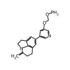 C=C1CCc2cc(-c3cncc(OCOP)c3)cc3c2N1CC3